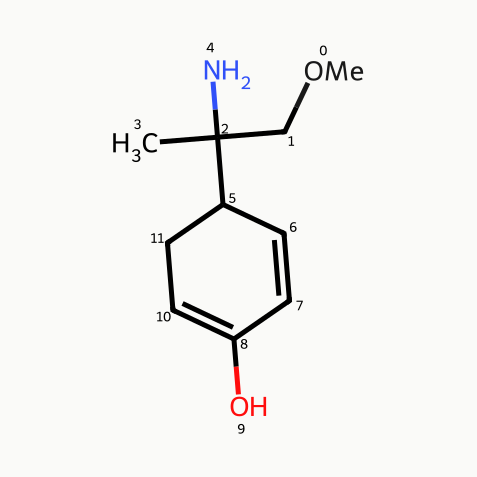 COCC(C)(N)C1C=CC(O)=CC1